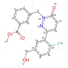 COC(=O)c1cccc(Cn2nc(-c3cc(CO)ccc3F)ccc2=O)c1